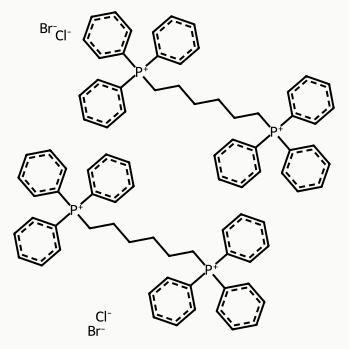 [Br-].[Br-].[Cl-].[Cl-].c1ccc([P+](CCCCCC[P+](c2ccccc2)(c2ccccc2)c2ccccc2)(c2ccccc2)c2ccccc2)cc1.c1ccc([P+](CCCCCC[P+](c2ccccc2)(c2ccccc2)c2ccccc2)(c2ccccc2)c2ccccc2)cc1